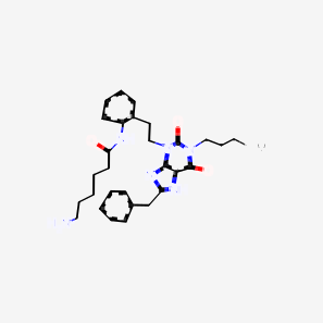 COCCCn1c(=O)c2[nH]c(Cc3ccccc3)nc2n(CCc2ccccc2NC(=O)CCCCCN)c1=O